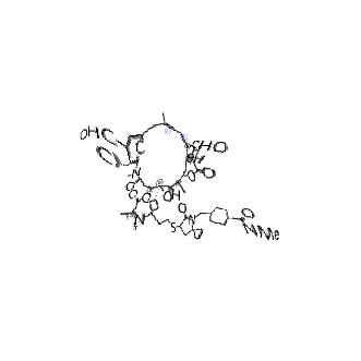 CNC(=O)C1CCC(CN2C(=O)CC(SCCC(=O)N(C)[C@@H](C)C(=O)O[C@H]3CC(=O)N(C)c4cc(cc(C=O)c4Cl)C/C(C)=C/C=C/[C@@H](C=O)[C@@]4(O)CC(OC(=O)N4)[C@@H](C)[C@@H]4O[C@@]34C)C2=O)CC1